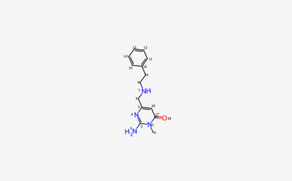 Cn1c(N)nc(CNCCc2ccccc2)cc1=O